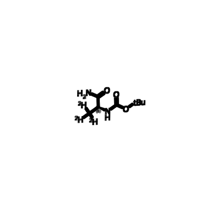 [2H]C([2H])([2H])[C@H](NC(=O)OC(C)(C)C)C(N)=O